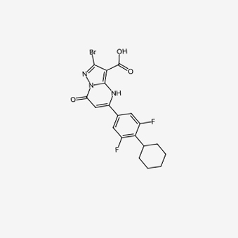 O=C(O)c1c(Br)nn2c(=O)cc(-c3cc(F)c(C4CCCCC4)c(F)c3)[nH]c12